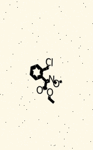 CCOC(=O)C(=NOC)c1ccccc1CCl